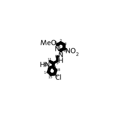 COc1ccc([N+](=O)[O-])c(NCCc2c[nH]c3ccc(Cl)cc23)n1